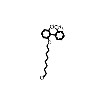 Cc1ccccc1-c1c(Cl)cccc1OCCCCCCCCCl